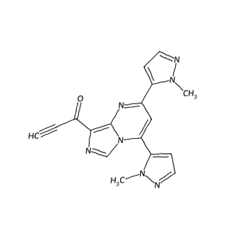 C#CC(=O)c1ncn2c(-c3ccnn3C)cc(-c3ccnn3C)nc12